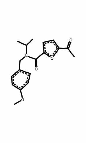 COc1ccc(CN(C(=O)c2ccc(C(C)=O)o2)C(C)C)cc1